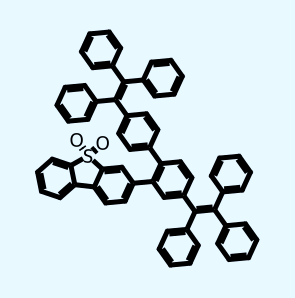 O=S1(=O)c2ccccc2-c2ccc(-c3cc(C(=C(c4ccccc4)c4ccccc4)c4ccccc4)ccc3-c3ccc(C(=C(c4ccccc4)c4ccccc4)c4ccccc4)cc3)cc21